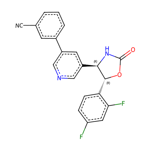 N#Cc1cccc(-c2cncc([C@H]3NC(=O)O[C@@H]3c3ccc(F)cc3F)c2)c1